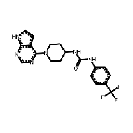 O=C(Nc1ccc(C(F)(F)F)cc1)NC1CCN(c2ncnc3[nH]ccc23)CC1